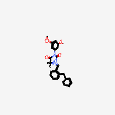 COc1cc(OC)cc(N2C(=O)N(Cc3ccccc3Cc3ccccc3)C(C)(C)C2=O)c1